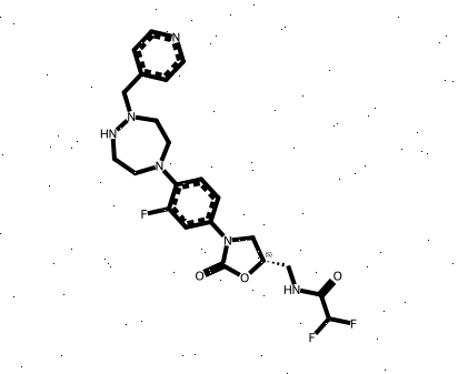 O=C(NC[C@H]1CN(c2ccc(N3CCNN(Cc4ccncc4)CC3)c(F)c2)C(=O)O1)C(F)F